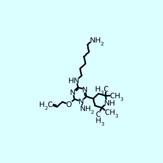 C=CCOC1N=C(NCCCCCCN)N=C(C2CC(C)(C)NC(C)(C)C2)N1N